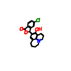 O=C1OC(c2cc3c4c(c2O)CCCN4CCCC3)c2cc(Cl)ccc21